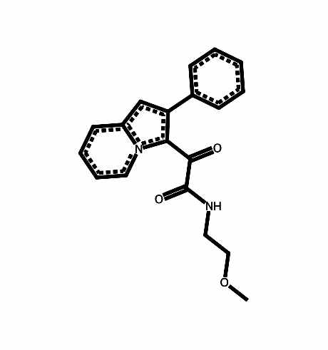 COCCNC(=O)C(=O)c1c(-c2ccccc2)cc2ccccn12